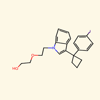 OCCOCCn1cc(C2(c3ccc(I)cc3)CCC2)c2ccccc21